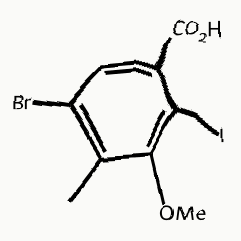 COc1c(C)c(Br)cc(C(=O)O)c1I